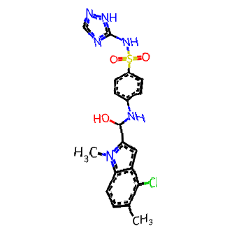 Cc1ccc2c(cc(C(O)Nc3ccc(S(=O)(=O)Nc4ncn[nH]4)cc3)n2C)c1Cl